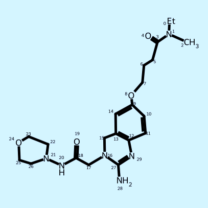 CCN(C)C(=O)CCCOc1ccc2c(c1)CN(CC(=O)NN1CCOCC1)C(N)=N2